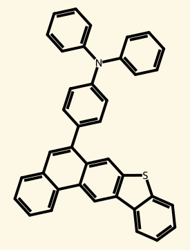 c1ccc(N(c2ccccc2)c2ccc(-c3cc4ccccc4c4cc5c(cc34)sc3ccccc35)cc2)cc1